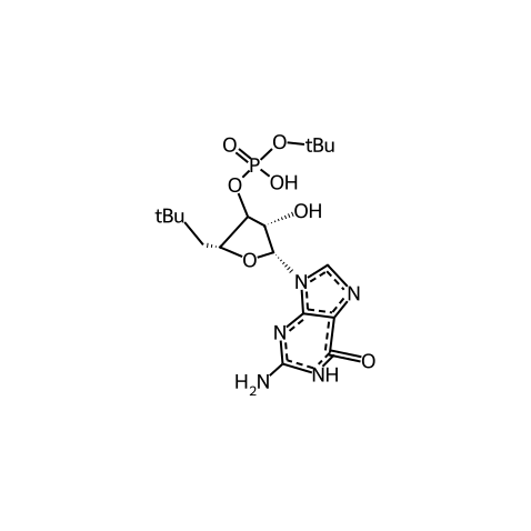 CC(C)(C)C[C@H]1O[C@@H](n2cnc3c(=O)[nH]c(N)nc32)[C@@H](O)C1OP(=O)(O)OC(C)(C)C